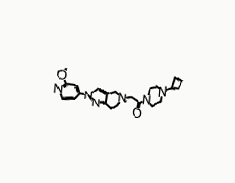 COc1cc(-n2cc3c(n2)CCN(CC(=O)N2CCN(C4CCC4)CC2)C3)ccn1